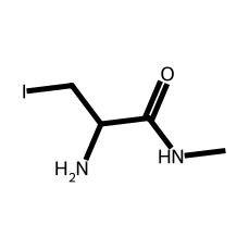 CNC(=O)C(N)CI